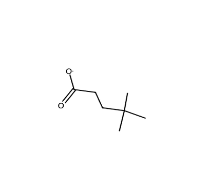 CC(C)(C)CCC([O])=O